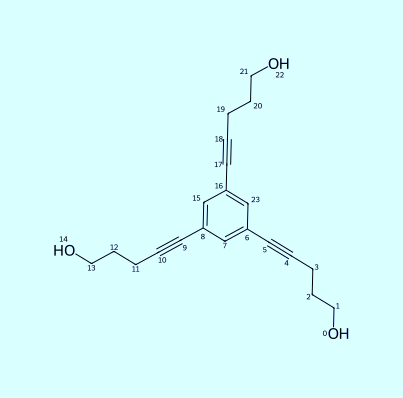 OCCCC#Cc1cc(C#CCCCO)cc(C#CCCCO)c1